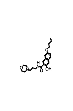 CCCCOc1ccc2cc(O)c(C(=O)NCCCN3CCOCC3)cc2c1